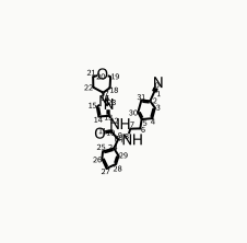 N#Cc1ccc(CCN[C@@H](C(=O)Nc2ccn(C3CCOCC3)n2)c2ccccc2)cc1